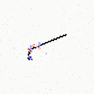 CCCCCCCCCCCCCCCCCCNC(=O)SCC(CNS(=O)(=O)CCC[n+]1ccn(C)c1)OC.[I-]